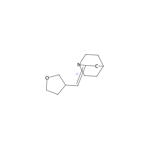 C(=C1\CC2CCN1CC2)/C1CCOC1